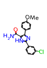 COc1ccc(-c2nc(-c3cccc(Cl)c3)[nH]c2C(N)=O)cc1